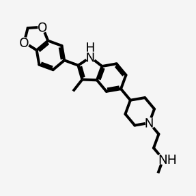 CNCCN1CCC(c2ccc3[nH]c(-c4ccc5c(c4)OCO5)c(C)c3c2)CC1